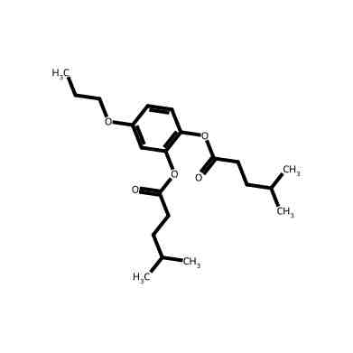 CCCOc1ccc(OC(=O)CCC(C)C)c(OC(=O)CCC(C)C)c1